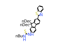 CCCCCCCCCCC1(CCCCCCCCCC)c2cc(NC(=S)NCCCC)ccc2-c2ccc(-c3nc4ccccc4s3)cc21